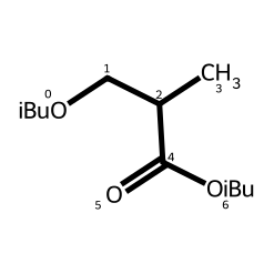 CC(C)COCC(C)C(=O)OCC(C)C